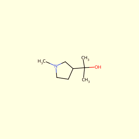 CN1CCC(C(C)(C)O)C1